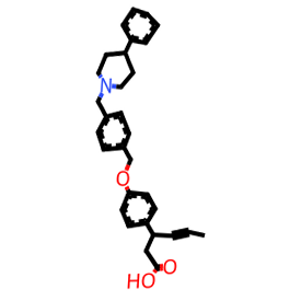 CC#CC(CC(=O)O)c1ccc(OCc2ccc(CN3CCC(c4ccccc4)CC3)cc2)cc1